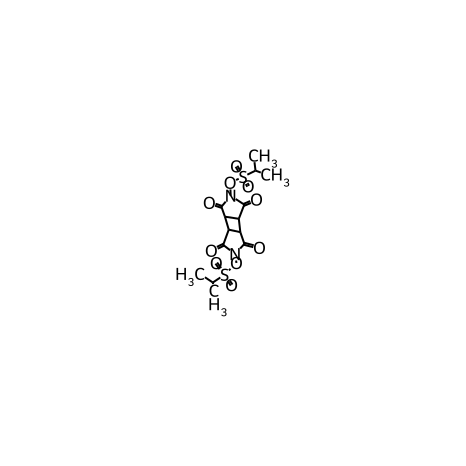 CC(C)S(=O)(=O)ON1C(=O)C2C(C1=O)C1C(=O)N(OS(=O)(=O)C(C)C)C(=O)C21